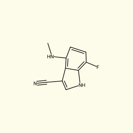 CNc1ccc(F)c2[nH]cc(C#N)c12